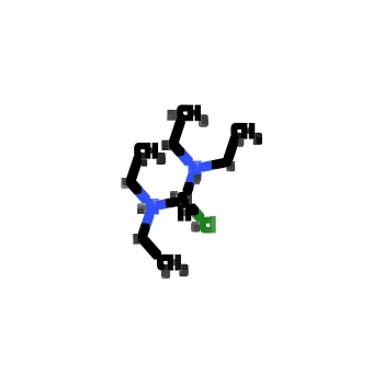 CCN(CC)[SiH](Cl)N(CC)CC